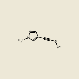 CC(C)SC#Cc1cnn(C)c1